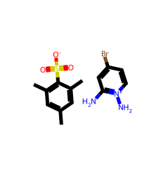 Cc1cc(C)c(S(=O)(=O)[O-])c(C)c1.Nc1cc(Br)cc[n+]1N